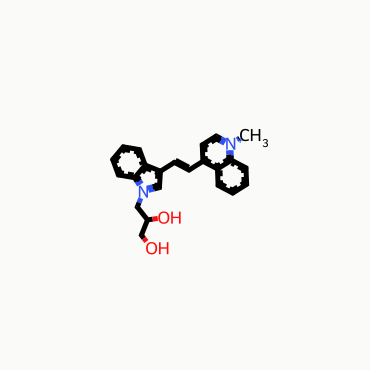 C[n+]1ccc(/C=C/c2cn(CC(O)CO)c3ccccc23)c2ccccc21